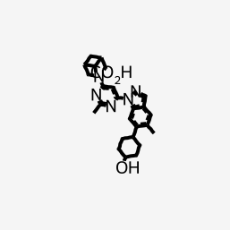 Cc1nc(N2CC3CC(C2)C3C(=O)O)cc(-n2ncc3cc(C)c(C4CCC(O)CC4)cc32)n1